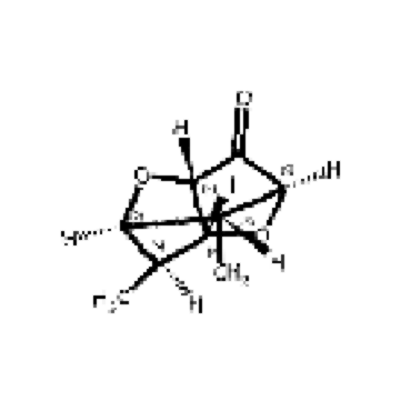 C[C@@H]1[C@@H]2O[C@@H]3C(=O)[C@H]1O[C@@H]3[C@H]2C